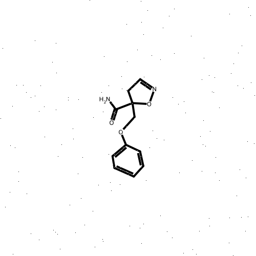 NC(=O)C1(COc2ccccc2)CC=NO1